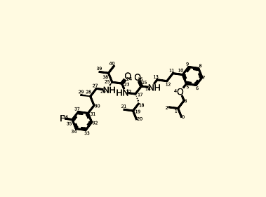 CC(C)COc1ccccc1CCCNC(=O)[C@H](CC(C)C)NC(=O)[C@H](NC[C@H](C)Cc1cccc(F)c1)C(C)C